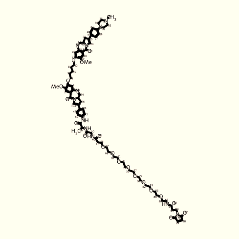 COc1cc2c(cc1OCCCCCOc1cc3c(cc1OC)C(=O)N1C=C(c4ccc(N5CCN(C)CC5)cc4)CC1C=N3)N=CC1CC(c3ccc(NC(=O)C(C)NC(=O)CNC(=O)CCOCCOCCOCCOCCOCCOCCOCCOCCNC(=O)CCN4C(=O)C=CC4=O)cc3)=CN1C2=O